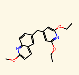 CCOc1cc(Cc2ccc3nc(OC)ccc3c2)cc(OCC)n1